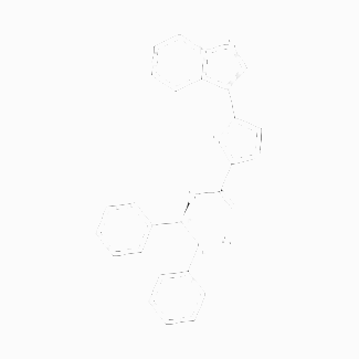 N[C@H](c1ccccc1)[C@H](NC(=O)c1nc(-c2cnn3ccccc23)cs1)c1ccccc1